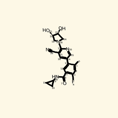 Cc1cc(F)c(C(=O)NC2CC2)cc1-c1cnc(N2C[C@@H](O)[C@@H](O)C2)c(C#N)c1